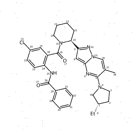 CC[C@H]1CCN(c2nc3cc([C@@H]4CCCCN4C(=O)c4cc(Cl)ccc4NC(=O)c4ccccc4)nn3cc2C)C1